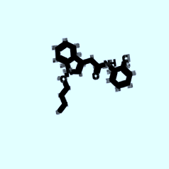 CCCCOn1cc(CC(=O)Nc2ccccc2Cl)c2ccccc21